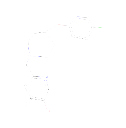 O=c1cc(CN2CCC(Oc3ccc(Cl)cn3)CC2)[nH]cc1O